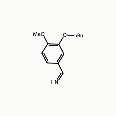 CCCCOc1cc(C=N)ccc1OC